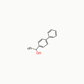 CCCC(O)c1ccc(-c2ccccc2)cc1